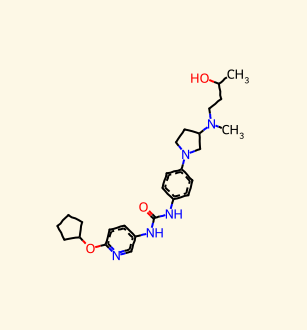 CC(O)CCN(C)C1CCN(c2ccc(NC(=O)Nc3ccc(OC4CCCC4)nc3)cc2)C1